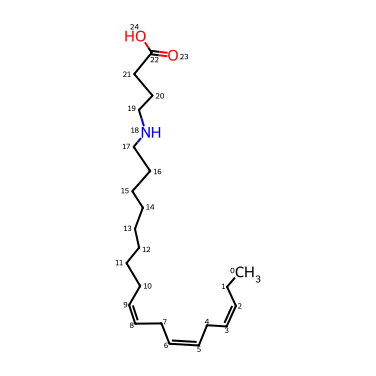 CC/C=C\C/C=C\C/C=C\CCCCCCCCNCCCC(=O)O